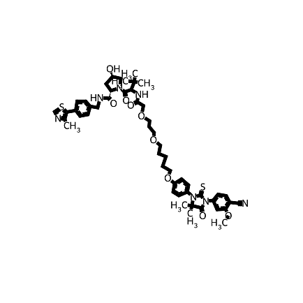 COc1cc(N2C(=O)C(C)(C)N(c3ccc(OCCCCCOCCCOCC(=O)NC(C(=O)N4C[C@H](O)C[C@H]4C(=O)NCc4ccc(-c5scnc5C)cc4)C(C)(C)C)cc3)C2=S)ccc1C#N